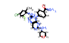 Cc1cc(Cl)cc(F)c1Nc1nc2cnc(NC3CCOCC3)nc2n1C1CCC(C(N)=O)CC1